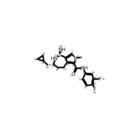 Cn1cc2c(c1C(=O)Nc1ccc(F)c(F)c1)CC[C@H](CC1CC1)NS2=N